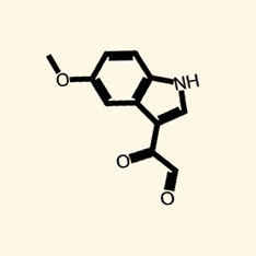 COc1ccc2[nH]cc(C(=O)C=O)c2c1